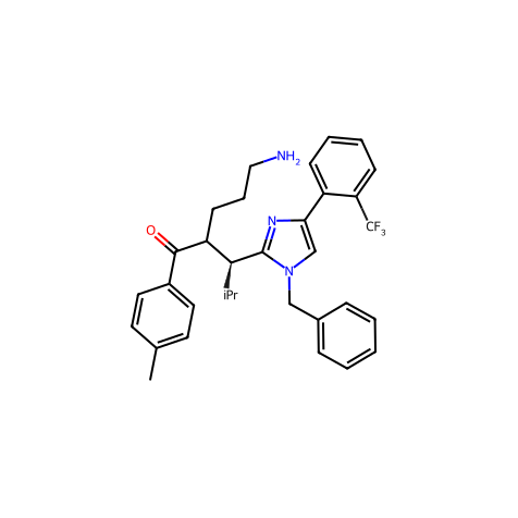 Cc1ccc(C(=O)C(CCCN)[C@@H](c2nc(-c3ccccc3C(F)(F)F)cn2Cc2ccccc2)C(C)C)cc1